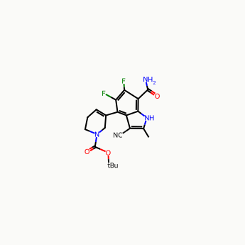 Cc1[nH]c2c(C(N)=O)c(F)c(F)c(C3=CCCN(C(=O)OC(C)(C)C)C3)c2c1C#N